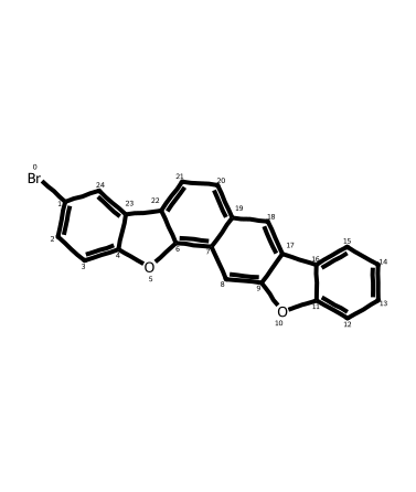 Brc1ccc2oc3c4cc5oc6ccccc6c5cc4ccc3c2c1